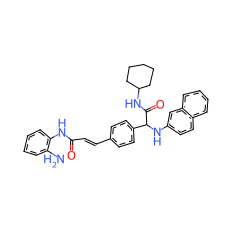 Nc1ccccc1NC(=O)C=Cc1ccc(C(Nc2ccc3ccccc3c2)C(=O)NC2CCCCC2)cc1